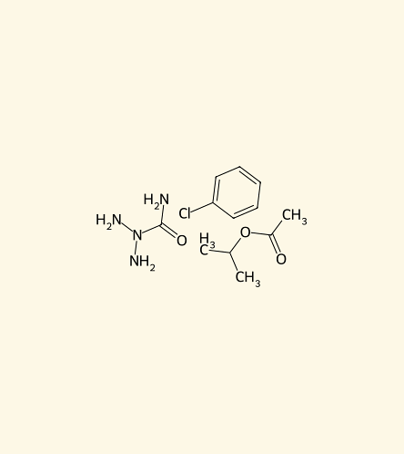 CC(=O)OC(C)C.Clc1ccccc1.NC(=O)N(N)N